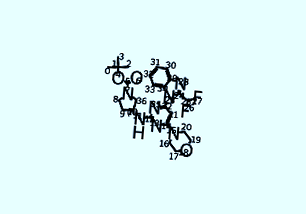 CC(C)(C)OC(=O)N1CC[C@@H](Nc2nc(N3CCOCC3)cc(-n3c(C(F)F)nc4ccccc43)n2)C1